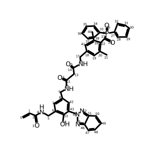 C=CC(=O)NCc1cc(CNC(=O)CC(=O)NCc2cc(C)c(C(=O)P(=O)(c3ccccc3)c3ccccc3)c(C)c2)cc(-n2nc3ccccc3n2)c1O